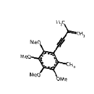 C=C(C)C#Cc1c(C)c(OC)c(OC)c(OC)c1OC